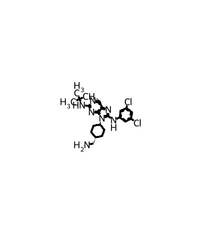 CC(C)(C)Nc1ncc2nc(Nc3cc(Cl)cc(Cl)c3)n([C@H]3CC[C@@H](CN)CC3)c2n1